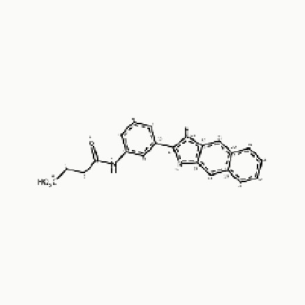 O=C(O)CCC(=O)Nc1cccc(-c2nc3cc4ccccc4cc3[nH]2)c1